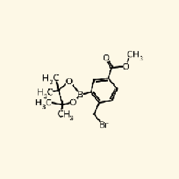 COC(=O)c1ccc(CBr)c(B2OC(C)(C)C(C)(C)O2)c1